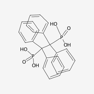 O=P(O)(O)C(c1ccccc1)(c1ccccc1)C(c1ccccc1)(c1ccccc1)P(=O)(O)O